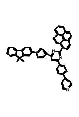 CC1(C)c2ccccc2-c2ccc(-c3ccc(-c4cc(-c5ccc(-c6ccncc6)cc5)nc(-c5ccc6ccc7cccc8ccc5c6c78)n4)cc3)cc21